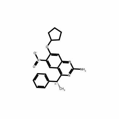 C[C@H](c1ccccc1)c1nc(N)nc2cc(OC3CCCC3)c([N+](=O)[O-])cc12